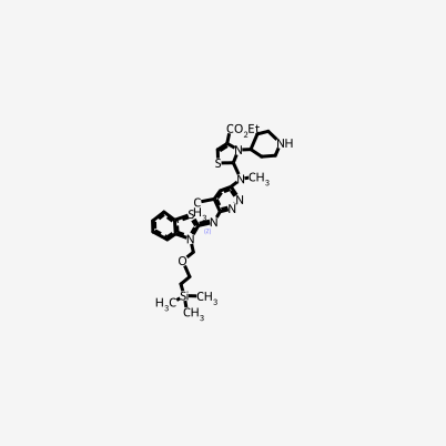 CCOC(=O)C1=CSC(N(C)c2cc(C)c(/N=c3\sc4ccccc4n3COCC[Si](C)(C)C)nn2)N1C1CCNCC1